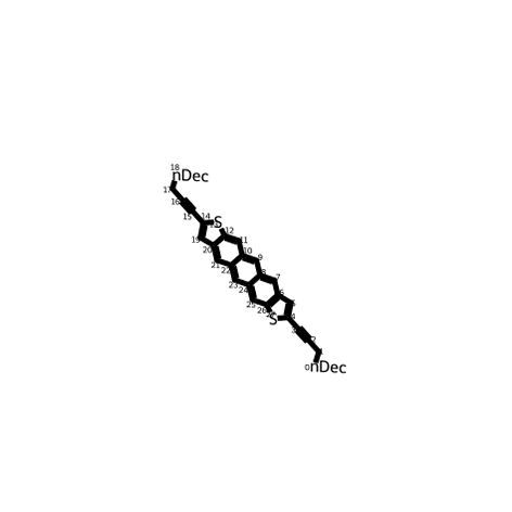 CCCCCCCCCCCC#Cc1cc2cc3cc4cc5sc(C#CCCCCCCCCCCC)cc5cc4cc3cc2s1